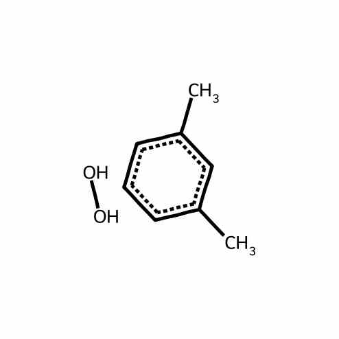 Cc1cccc(C)c1.OO